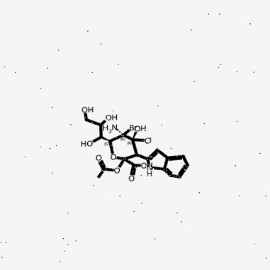 CC(=O)OC1(C(=O)O)O[C@@H](C(O)C(O)CO)[C@@](N)(Br)[C@](O)(Cl)C1c1cc2ccccc2[nH]1